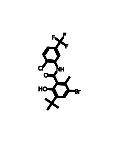 Cc1c(Br)cc(C(C)(C)C)c(O)c1C(=O)Nc1cc(C(F)(F)F)ccc1Cl